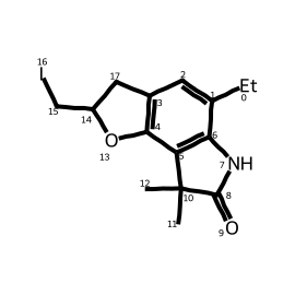 CCc1cc2c(c3c1NC(=O)C3(C)C)OC(CI)C2